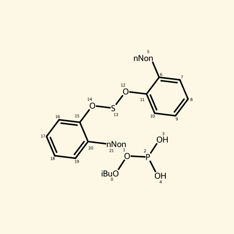 CC(C)COOP(O)O.CCCCCCCCCc1ccccc1OSOc1ccccc1CCCCCCCCC